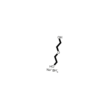 OCCOCCO.[BH4-].[Na+]